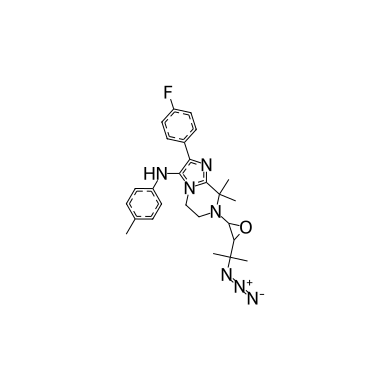 Cc1ccc(Nc2c(-c3ccc(F)cc3)nc3n2CCN(C2OC2C(C)(C)N=[N+]=[N-])C3(C)C)cc1